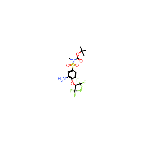 CN(C(=O)OC(C)(C)C)S(=O)(=O)c1ccc(OC(C(F)(F)F)C(F)(F)F)c(N)c1